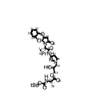 CC(C)C[C@@H](C(=O)Nc1ccn(C[C@@H](O)COC(=O)[C@H](C)NC(=O)OC(C)(C)C)n1)N1CC(Oc2ccccc2Cl)=CC1=O